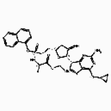 C[C@@H](N[P@](=O)(OC[C@@H]1CC(=N)[C@H](n2cnc3c(NC4CC4)nc(N)nc32)O1)Oc1cccc2ccccc12)C(=O)OCC(C)(C)C